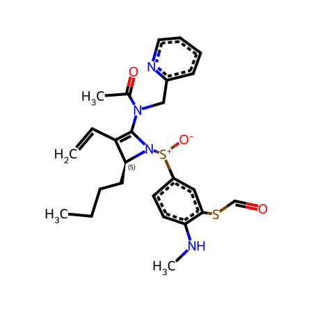 C=CC1=C(N(Cc2ccccn2)C(C)=O)N([S+]([O-])c2ccc(NC)c(SC=O)c2)[C@H]1CCCC